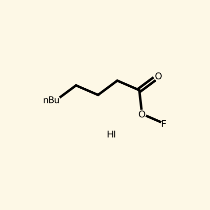 CCCCCCCC(=O)OF.I